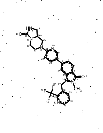 Cn1c(=O)c2ccc(-c3cnc(N4CCN5C(=O)NCC5C4)nc3)cc2n1Cc1cccnc1C(F)(F)F